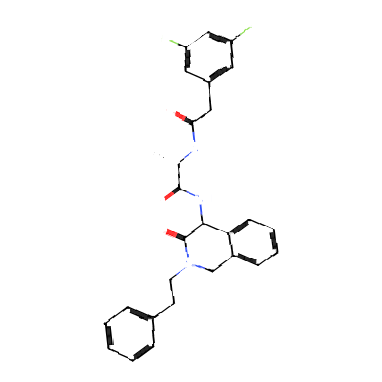 C[C@H](NC(=O)Cc1cc(F)cc(F)c1)C(=O)NC1C(=O)N(CCc2ccccc2)Cc2ccccc21